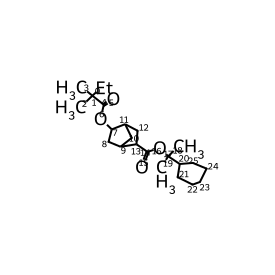 CCC(C)(C)C(=O)OC1CC2CC1CC2C(=O)OC(C)(C)C1CCCCC1